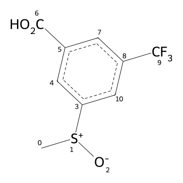 C[S+]([O-])c1cc(C(=O)O)cc(C(F)(F)F)c1